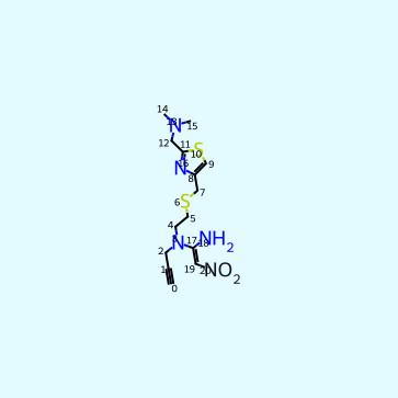 C#CCN(CCSCc1csc(CN(C)C)n1)C(N)=C[N+](=O)[O-]